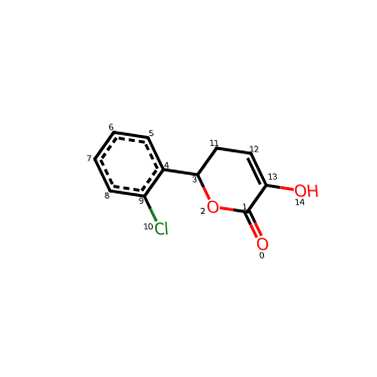 O=C1OC(c2ccccc2Cl)CC=C1O